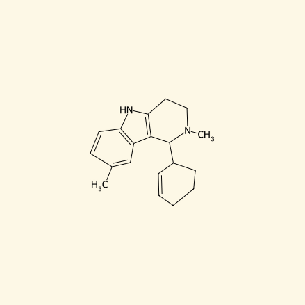 Cc1ccc2[nH]c3c(c2c1)C(C1C=CCCC1)N(C)CC3